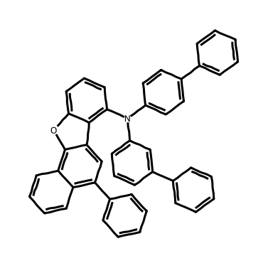 c1ccc(-c2ccc(N(c3cccc(-c4ccccc4)c3)c3cccc4oc5c6ccccc6c(-c6ccccc6)cc5c34)cc2)cc1